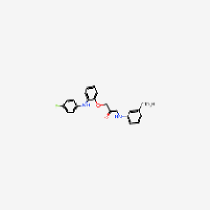 O=C(CNc1cccc(C(=O)O)c1)COc1ccccc1Nc1ccc(F)cc1